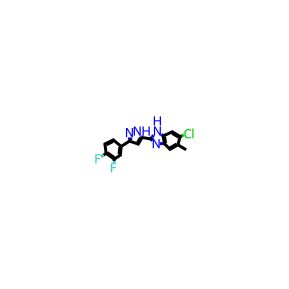 Cc1cc2nc(-c3cc(-c4ccc(F)c(F)c4)n[nH]3)[nH]c2cc1Cl